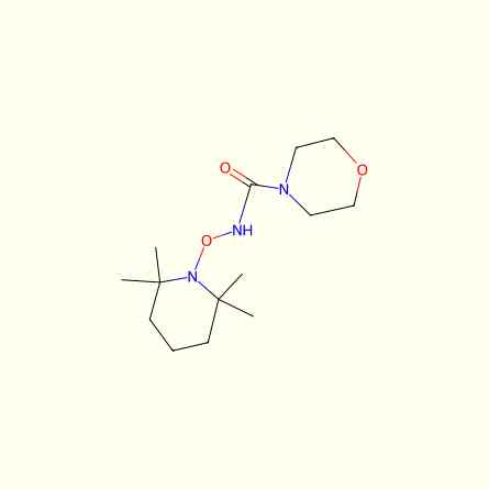 CC1(C)CCCC(C)(C)N1ONC(=O)N1CCOCC1